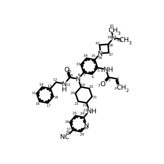 C=CC(=O)Nc1cc(N(C(=O)NCc2ccccc2)C2CCC(Nc3ccc(C#N)cn3)CC2)ccc1N1CC(N(C)C)C1